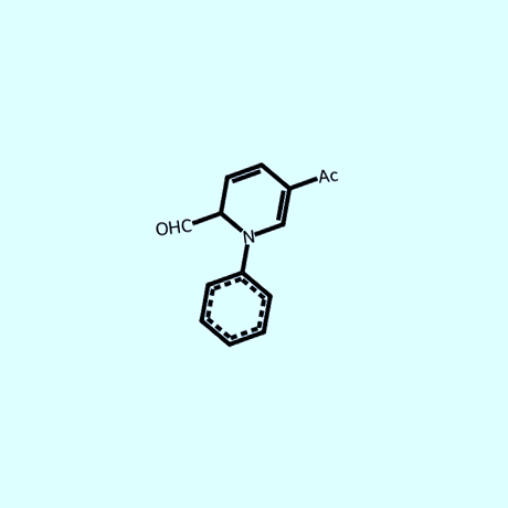 CC(=O)C1=CN(c2ccccc2)C(C=O)C=C1